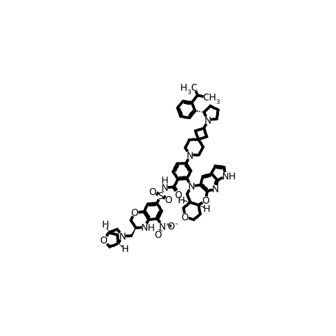 CC(C)c1ccccc1[C@@H]1CCCN1C1CC2(CCN(c3ccc(C(=O)NS(=O)(=O)c4cc5c(c([N+](=O)[O-])c4)N[C@@H](CN4C[C@H]6C[C@@H]4CO6)CO5)c(N4C[C@@H]5COCC[C@@H]5Oc5nc6[nH]ccc6cc54)c3)CC2)C1